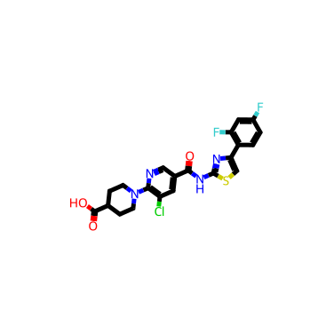 O=C(Nc1nc(-c2ccc(F)cc2F)cs1)c1cnc(N2CCC(C(=O)O)CC2)c(Cl)c1